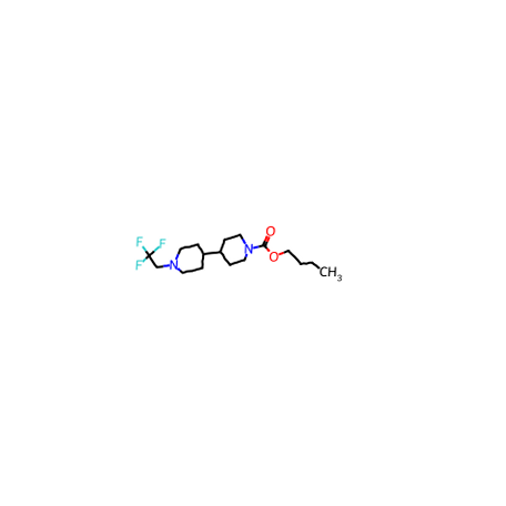 CCCCOC(=O)N1CCC(C2CCN(CC(F)(F)F)CC2)CC1